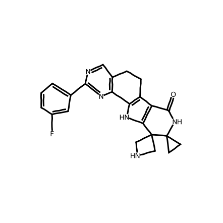 O=C1NC2(CC2)C2(CNC2)c2[nH]c3c(c21)CCc1cnc(-c2cccc(F)c2)nc1-3